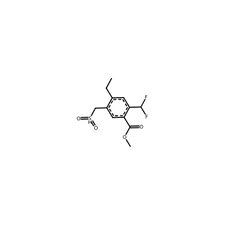 CCc1cc(C(F)F)c(C(=O)OC)cc1C[SH](=O)=O